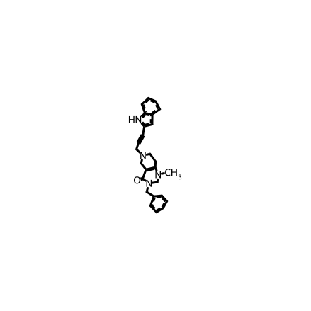 CN1CN(Cc2ccccc2)C(=O)C2=C1CCN(CC#Cc1cc3ccccc3[nH]1)C2